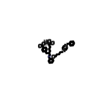 O=C(O)CCCCC(/C=C/c1ccccc1OCCCCCN1CCN(Cc2ccccc2)CC1)Cc1ccc(C(=O)O)cc1